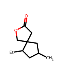 CCC1CC(C)CC12COC(=O)C2